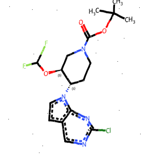 CC(C)(C)OC(=O)N1CC[C@H](n2ccc3cnc(Cl)nc32)[C@@H](OC(F)F)C1